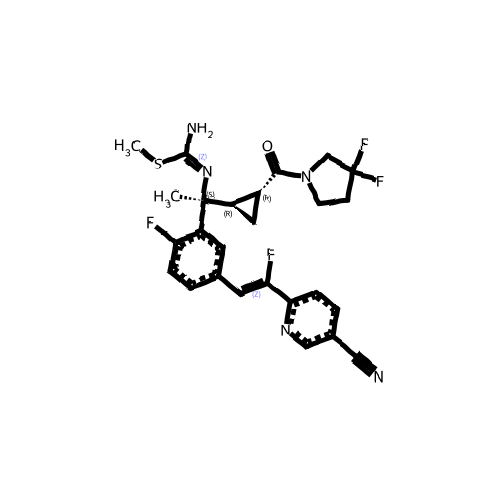 CS/C(N)=N\[C@](C)(c1cc(/C=C(\F)c2ccc(C#N)cn2)ccc1F)[C@@H]1C[C@H]1C(=O)N1CCC(F)(F)C1